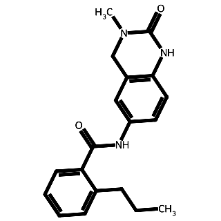 CCCc1ccccc1C(=O)Nc1ccc2c(c1)CN(C)C(=O)N2